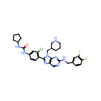 O=C(Nc1ccc(-c2nc3cnc(NCc4ccc(F)c(F)c4)nc3n2C[C@@H]2CCCNC2)c(Cl)c1)NC1CCCC1